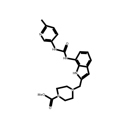 COC(=O)N1CCN(Cc2cc3cccc(NC(=O)Nc4ccc(C)nc4)c3[nH]2)CC1